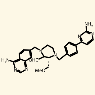 COC[C@@H]1C(C=O)N(Cc2ccc3c(N)ncnc3c2)CCN1Cc1ccc(-c2ccnc(N)n2)cc1